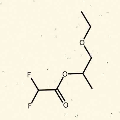 CCOCC(C)OC(=O)C(F)F